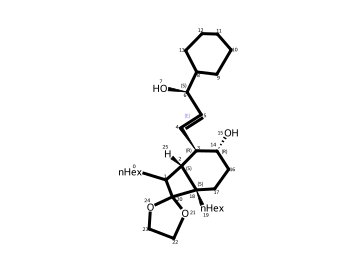 CCCCCCC1[C@@H]2[C@@H](/C=C/[C@@H](O)C3CCCCC3)[C@H](O)CC[C@]2(CCCCCC)C12OCCO2